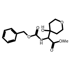 COC(=O)C(NC(=O)OCc1ccccc1)C1(O)CCOCC1